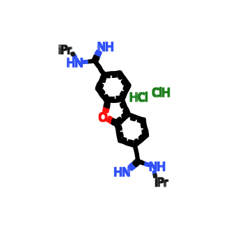 CC(C)NC(=N)c1ccc2c(c1)oc1cc(C(=N)NC(C)C)ccc12.Cl.Cl